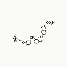 CS(=O)(=O)CCCOc1cc(C(F)(F)F)c(-c2ccc(F)c(COc3ccc4c(c3)CC3C(C(=O)O)C43)c2)cn1